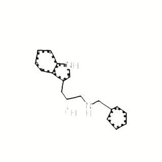 C[C@@H](CNCc1ccccc1)Cc1c[nH]c2ccccc12